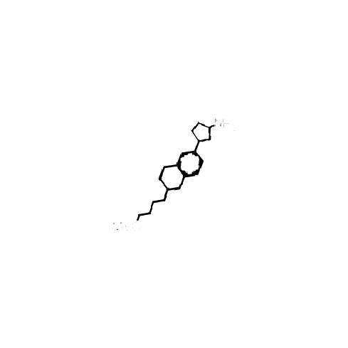 COCCCCC1CCc2cc(C3CCC(N)C3)ccc2C1